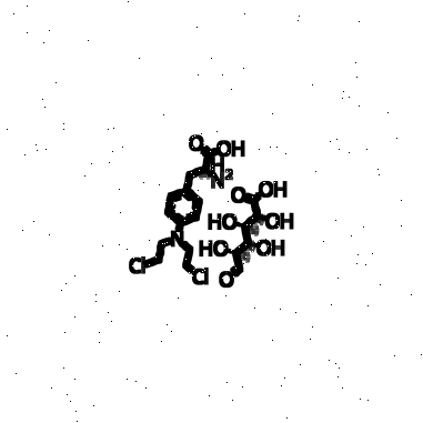 N[C@@H](Cc1ccc(N(CCCl)CCCl)cc1)C(=O)O.O=C[C@H](O)[C@@H](O)[C@H](O)[C@H](O)C(=O)O